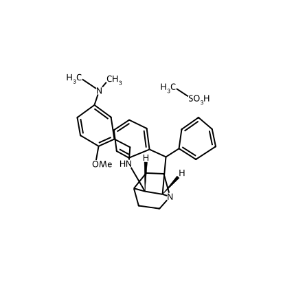 COc1ccc(N(C)C)cc1CN[C@H]1C2CCN(CC2)[C@H]1C(c1ccccc1)c1ccccc1.CS(=O)(=O)O